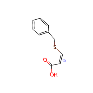 O=C(O)/C=C\SCc1ccccc1